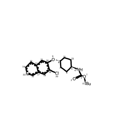 CC(C)(C)OC(=O)N[C@H]1CC[C@H](Oc2cc3ccncc3cc2Cl)CC1